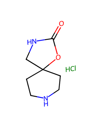 Cl.O=C1NCC2(CCNCC2)O1